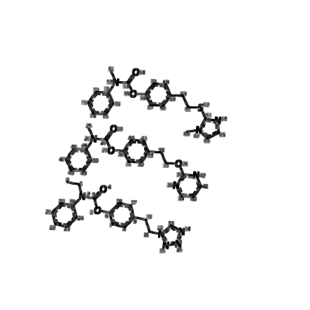 CCN(C(=O)Oc1ccc(CCn2cnnn2)cc1)c1ccccc1.CN(C(=O)Oc1ccc(CCOc2ncccn2)cc1)c1ccccc1.CN(C(=O)Oc1ccc(CCSc2nccn2C)cc1)c1ccccc1